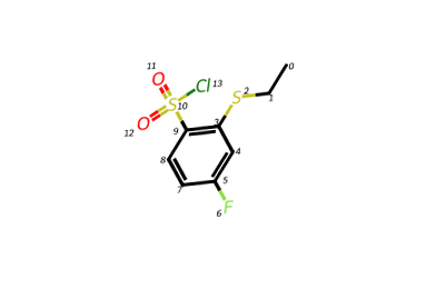 CCSc1cc(F)ccc1S(=O)(=O)Cl